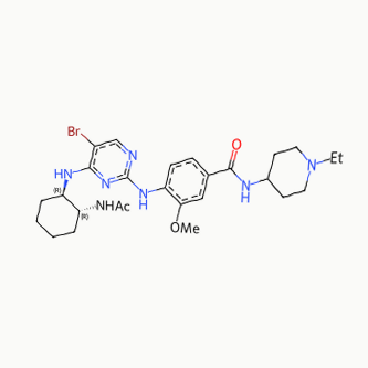 CCN1CCC(NC(=O)c2ccc(Nc3ncc(Br)c(N[C@@H]4CCCC[C@H]4NC(C)=O)n3)c(OC)c2)CC1